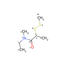 CCN(C)C(=O)C(C)SSC